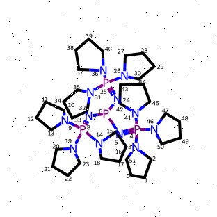 C1CCN(P(=NP(N=P(N2CCCC2)(N2CCCC2)N2CCCC2)N=P(N2CCCC2)(N2CCCC2)N2CCCC2)(N2CCCC2)N2CCCC2)C1